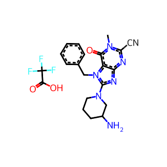 Cn1c(C#N)nc2nc(N3CCCC(N)C3)n(Cc3ccccc3)c2c1=O.O=C(O)C(F)(F)F